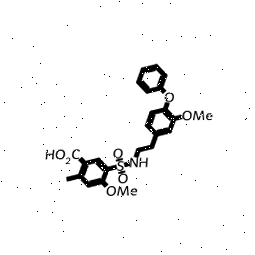 COc1cc(CCNS(=O)(=O)c2cc(C(=O)O)c(C)cc2OC)ccc1Oc1ccccc1